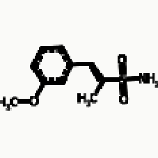 COc1cccc(/C=C(\C)S(N)(=O)=O)c1